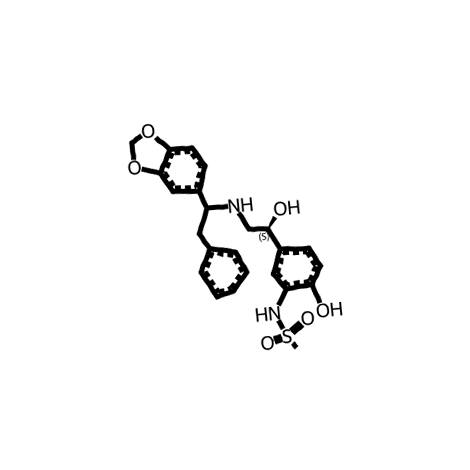 CS(=O)(=O)Nc1cc([C@H](O)CNC(Cc2ccccc2)c2ccc3c(c2)OCO3)ccc1O